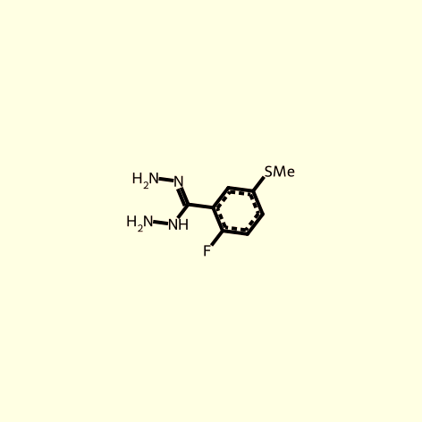 CSc1ccc(F)c(/C(=N/N)NN)c1